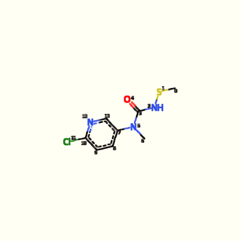 CSNC(=O)N(C)c1ccc(Cl)nc1